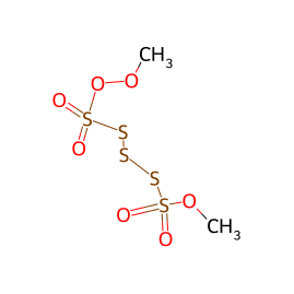 COOS(=O)(=O)SSSS(=O)(=O)OC